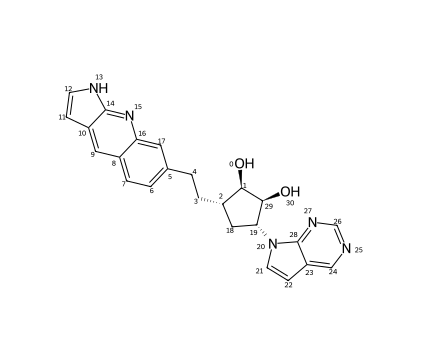 O[C@@H]1[C@@H](CCc2ccc3cc4cc[nH]c4nc3c2)C[C@@H](n2ccc3cncnc32)[C@@H]1O